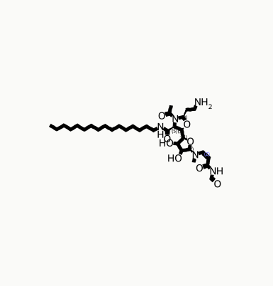 CCCCCCCCCCCCCCCCNC(=O)[C@@H]1[C@@H]([C@H]2O[C@@H](N(C)/C=C\C(=O)NC=O)C(O)C2O)O[C@H](CCN)N1C(C)=O